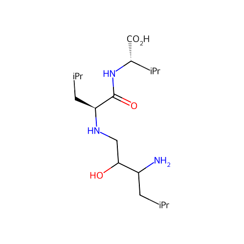 CC(C)CC(N)C(O)CN[C@@H](CC(C)C)C(=O)N[C@H](C(=O)O)C(C)C